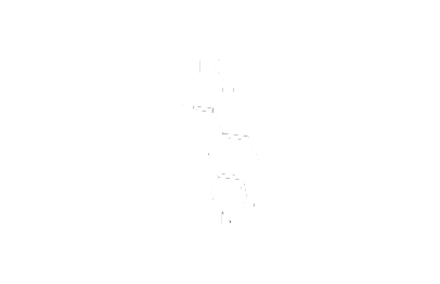 COC(=O)c1ccc2oncc2c1